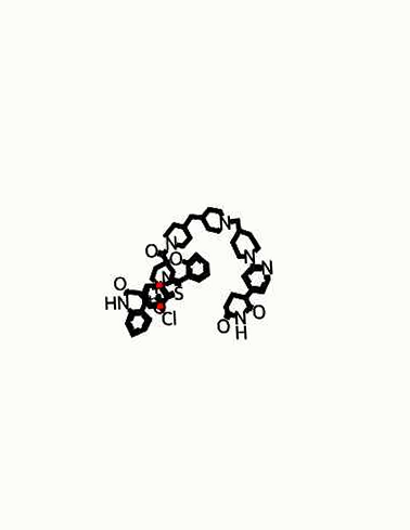 O=C1CCC(c2ccnc(N3CCC(CN4CCC(CC5CCN(C(=O)C6(Oc7ccccc7-c7nc8cccc(Cl)c8s7)CCN(C(=O)[C@H]7CC(=O)Nc8ccccc87)CC6)CC5)CC4)CC3)c2)C(=O)N1